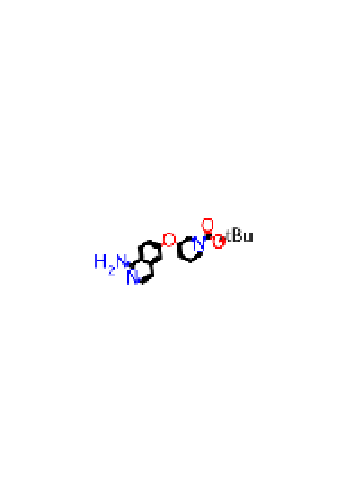 CC(C)(C)OC(=O)N1CCC[C@H](Oc2ccc3c(N)nccc3c2)C1